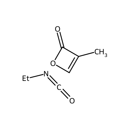 CC1=COC1=O.CCN=C=O